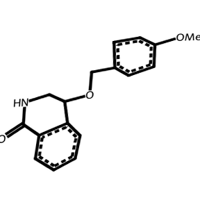 COc1ccc(COC2CNC(=O)c3ccccc32)cc1